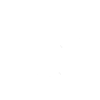 Cl.O=C(O)c1cc2c([nH]c1=O)CCN(Cc1ccccc1F)C2